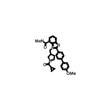 CNC(=O)c1cccc2nc(-c3ccc(-c4ccc(OC)cc4)cc3)n(CC3CCN(C(=O)C4CC4)C3)c12